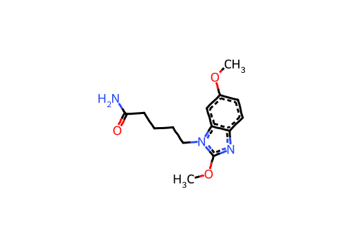 COc1ccc2nc(OC)n(CCCCC(N)=O)c2c1